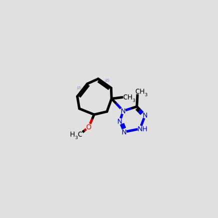 COC1C/C=C\C=C/C(C)(N2N=NNN=C2C)C1